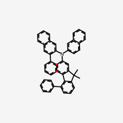 CC1(C)c2cc(N(c3ccc4ccccc4c3)c3cc4ccccc4cc3-c3ccccc3)ccc2-c2c(-c3ccccc3)cccc21